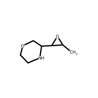 CC1OC1C1COCCN1